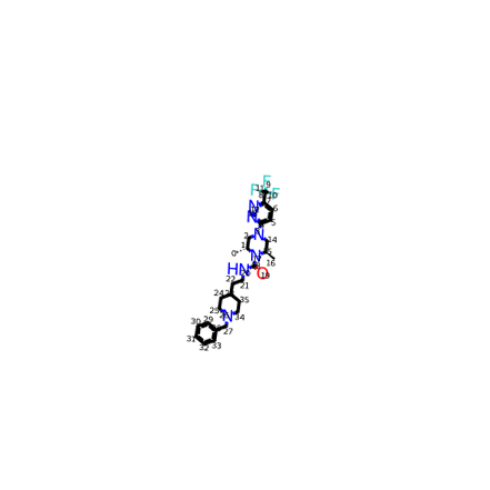 C[C@@H]1CN(c2ccc(C(F)(F)F)nn2)C[C@@H](C)N1C(=O)NCCC1CCN(Cc2ccccc2)CC1